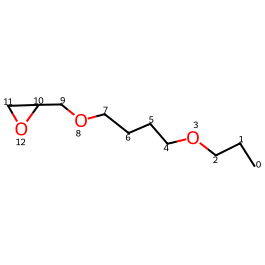 CCCOCCCCOCC1CO1